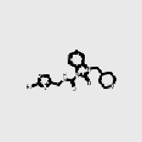 CCc1nc(CNC(=O)n2c(=O)n(CC3CCOCC3)c3ccccc32)cs1